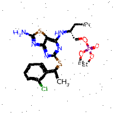 CCOP(=O)(OCC)OC[C@@H](CC(C)C)Nc1nc(SC(C)c2ccccc2Cl)nc2nc(N)sc12